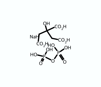 O=C(O)CC(O)(CC(=O)O)C(=O)O.O=P(O)(O)OP(=O)(O)O.[NaH]